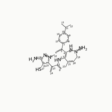 C=C(NC1=C(C(=C)c2ccc(C(C)C)cc2)NN(N)CC=C1C)C(=C)c1c(S)c(N)nn1C